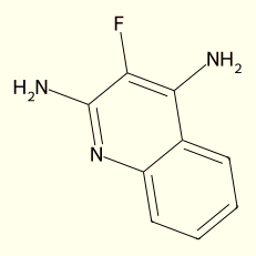 Nc1nc2ccccc2c(N)c1F